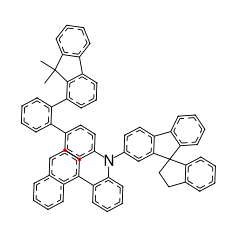 CC1(C)c2ccccc2-c2cccc(-c3ccccc3-c3ccc(N(c4ccc5c(c4)C4(CCc6ccccc64)c4ccccc4-5)c4ccccc4-c4cccc5ccccc45)cc3)c21